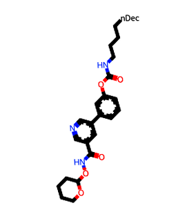 CCCCCCCCCCCCCCNC(=O)Oc1cccc(-c2cncc(C(=O)NOC3CCCCO3)c2)c1